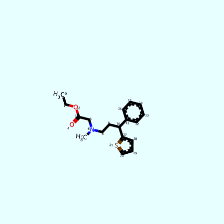 CCOC(=O)CN(C)CCC(c1ccccc1)c1cccs1